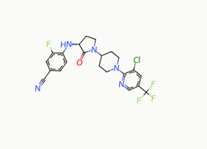 N#Cc1ccc(N[C@H]2CCN(C3CCN(c4ncc(C(F)(F)F)cc4Cl)CC3)C2=O)c(F)c1